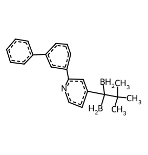 BC(B)(c1ccnc(-c2cccc(-c3ccccc3)c2)c1)C(C)(C)C